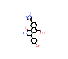 O=c1[nH]cc(-c2ccc(O)cc2)c2cc(CO)c3ccc(-c4cn[nH]c4)cc3c12